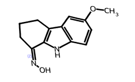 COc1ccc2[nH]c3c(c2c1)CCC/C3=N/O